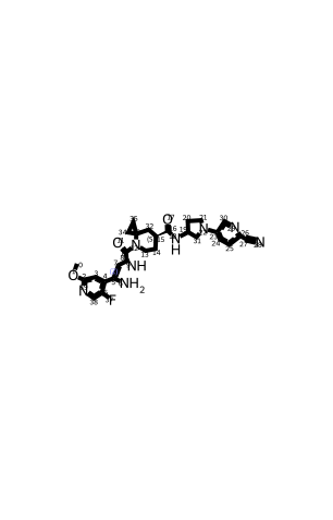 COc1cc(/C(N)=C/C(=N)C(=O)N2CC[C@H](C(=O)NC3CCN(c4ccc(C#N)nc4)C3)CC23CC3)c(F)cn1